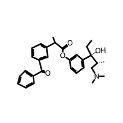 CC[C@](O)(c1cccc(OC(=O)C(C)c2cccc(C(=O)c3ccccc3)c2)c1)[C@H](C)CN(C)C